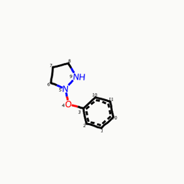 [c]1ccc(ON2CCCN2)cc1